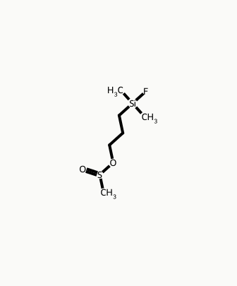 CS(=O)OCCC[Si](C)(C)F